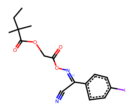 CCC(C)(C)C(=O)OCC(=O)O/N=C(\C#N)c1ccc(I)cc1